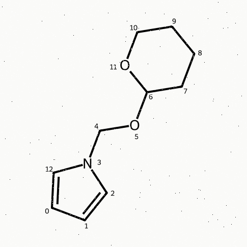 c1ccn(COC2CCCCO2)c1